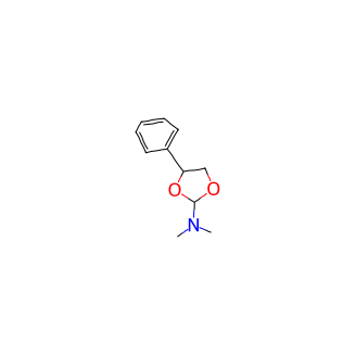 CN(C)C1OCC(c2ccccc2)O1